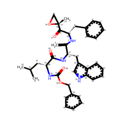 C=C(N[C@@H](Cc1ccccc1)C(=O)[C@@]1(C)CO1)[C@H](Cc1c[nH]c2ccccc12)NC(=O)[C@@H](CC(C)C)NC(=O)OCc1ccccc1